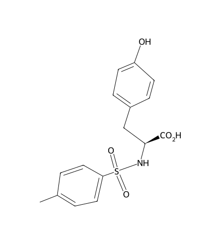 Cc1ccc(S(=O)(=O)N[C@@H](Cc2ccc(O)cc2)C(=O)O)cc1